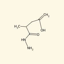 C=C(O)CC(C)C(=O)NN